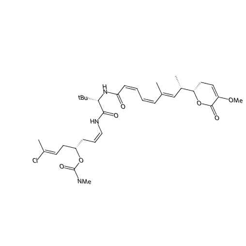 CNC(=O)O[C@@H](C/C=C\NC(=O)[C@@H](NC(=O)\C=C/C=C\C(C)=C\[C@H](C)[C@@H]1CC=C(OC)C(=O)O1)C(C)(C)C)C/C=C(\C)Cl